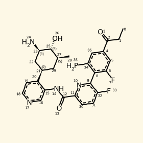 CCC(=O)c1cc(F)c(-c2nc(C(=O)Nc3cnccc3[C@H]3C[C@@H](N)[C@H](O)[C@@H](C)C3)ccc2F)c(P)c1